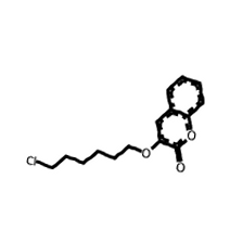 O=c1oc2ccccc2cc1OCCCCCCCl